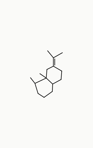 CC(C)=C1CCC2CCCC(C)C2(C)C1